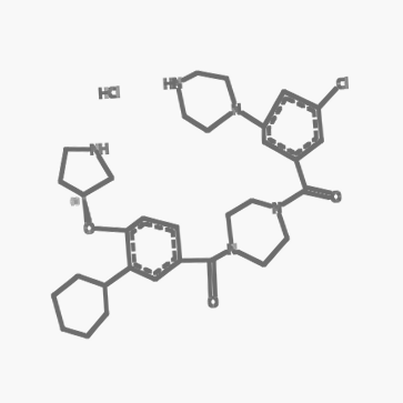 Cl.O=C(c1cc(Cl)cc(N2CCNCC2)c1)N1CCN(C(=O)c2ccc(O[C@H]3CCNC3)c(C3CCCCC3)c2)CC1